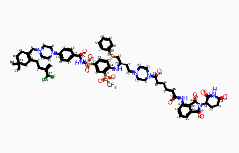 C=C(CCC1=C(CN2CCN(c3ccc(C(=O)NS(=O)(=O)c4ccc(N[C@H](CCN5CCN(C(=O)CCCCC(=O)Nc6cccc7c6C(=O)N(C6CCC(=O)NC6=O)C7=O)CC5)CSc5ccccc5)c(S(=O)(=O)C(F)(F)F)c4)cc3)CC2)CCC(C)(C)C1)C(F)F